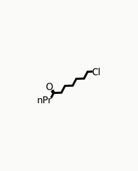 CCCC(=O)CCCCCCCl